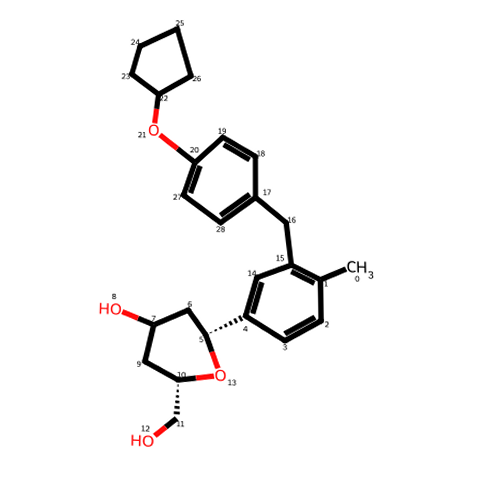 Cc1ccc([C@H]2CC(O)C[C@@H](CO)O2)cc1Cc1ccc(OC2CCCC2)cc1